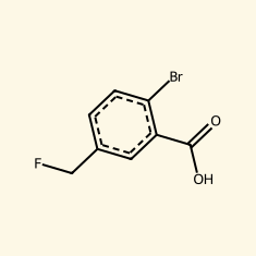 O=C(O)c1cc(CF)ccc1Br